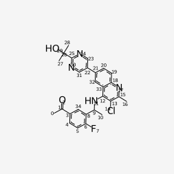 CC(=O)c1ccc(F)c(C(C)Nc2c(Cl)c(C)nc3ccc(-c4cnc(C(C)(C)O)nc4)cc23)c1